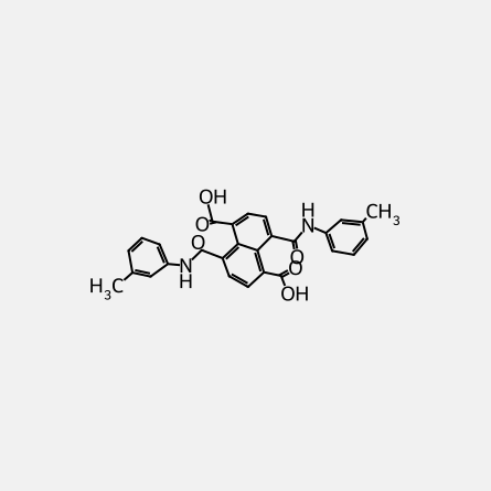 Cc1cccc(NC(=O)c2ccc(C(=O)O)c3c(C(=O)Nc4cccc(C)c4)ccc(C(=O)O)c23)c1